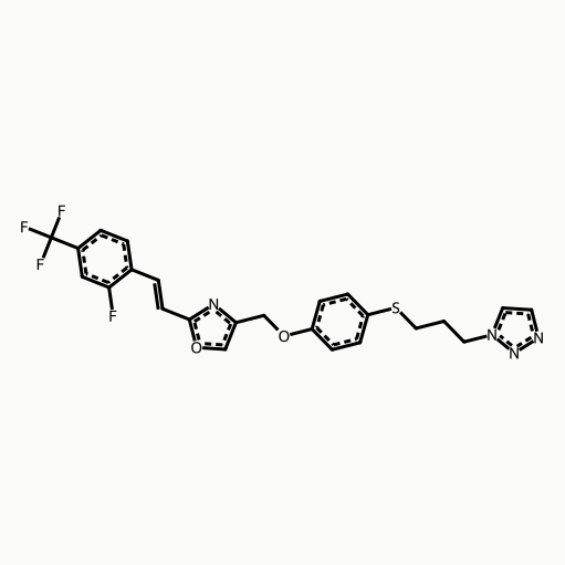 Fc1cc(C(F)(F)F)ccc1/C=C/c1nc(COc2ccc(SCCCn3ccnn3)cc2)co1